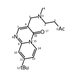 CC(=O)CCN(C)Cc1cnc2cc(C(C)(C)C)ccn2c1=O